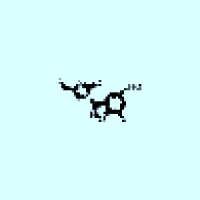 O=Cc1cc(F)c2onc(-n3cc(CF)sc3=O)c2c1